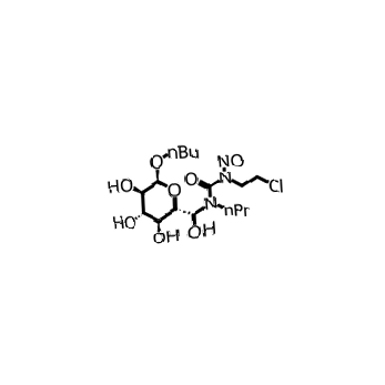 CCCCO[C@H]1O[C@H](C(O)N(CCC)C(=O)N(CCCl)N=O)[C@@H](O)[C@H](O)[C@H]1O